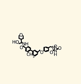 Cc1cc(C(=O)NC(CO)C2CCOCC2)ccc1-c1cccc(COc2ccc(Cn3oc(=O)[nH]c3=O)cc2)c1